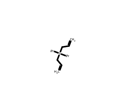 C=CC[Si](CC=C)(C(C)C)C(C)C